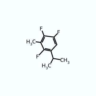 Cc1c(F)c(F)cc(C(C)C)c1F